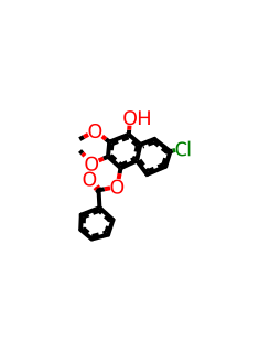 COc1c(OC)c(OC(=O)c2ccccc2)c2ccc(Cl)cc2c1O